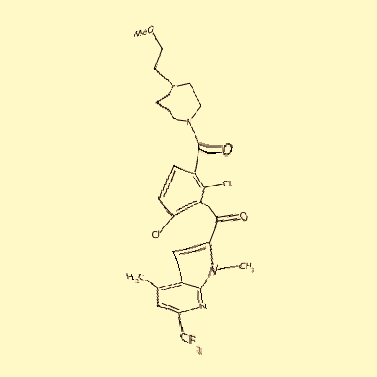 COCCC1CCN(C(=O)c2ccc(Cl)c(C(=O)c3cc4c(C)cc(C(F)(F)F)nc4n3C)c2Cl)CC1